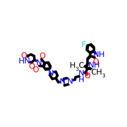 Cc1[nH]c(/C=C2\C(=O)Nc3ccc(F)cc32)c(C)c1C(=O)NCCCN1CCN(CC2CCN(c3ccc4c(c3)C(=O)N(C3CCC(=O)NC3=O)C4=O)CC2)CC1